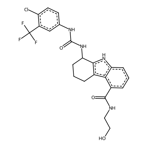 O=C(Nc1ccc(Cl)c(C(F)(F)F)c1)NC1CCCc2c1[nH]c1cccc(C(=O)NCCO)c21